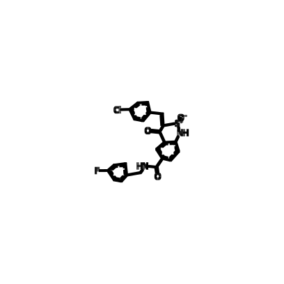 O=C(NCc1ccc(F)cc1)c1ccc2c(c1)C(=O)/C(=C\c1ccc(Cl)cc1)[S+]([O-])N2